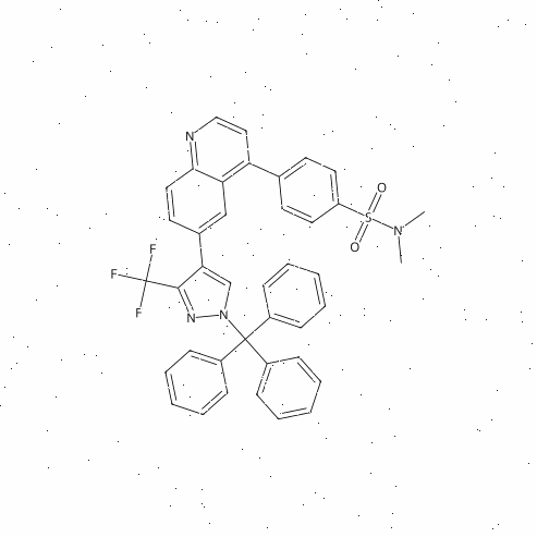 CN(C)S(=O)(=O)c1ccc(-c2ccnc3ccc(-c4cn(C(c5ccccc5)(c5ccccc5)c5ccccc5)nc4C(F)(F)F)cc23)cc1